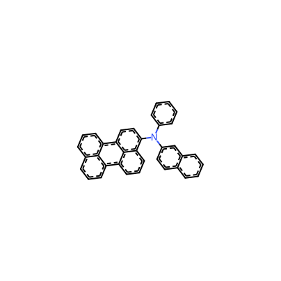 c1ccc(N(c2ccc3ccccc3c2)c2ccc3c4cccc5cccc(c6cccc2c63)c54)cc1